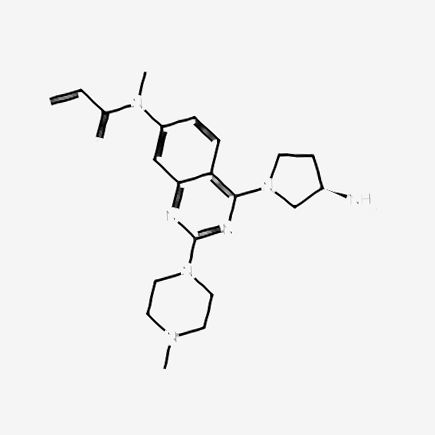 C=CC(=O)N(C)c1ccc2c(N3CC[C@@H](N)C3)nc(N3CCN(C)CC3)nc2c1